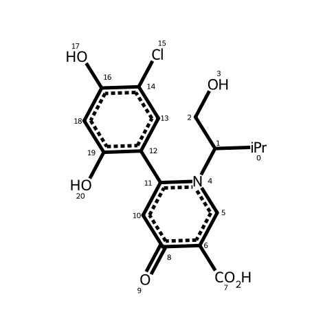 CC(C)C(CO)n1cc(C(=O)O)c(=O)cc1-c1cc(Cl)c(O)cc1O